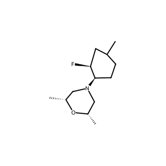 CC1CC[C@@H](N2C[C@@H](C)O[C@@H](C)C2)[C@@H](F)C1